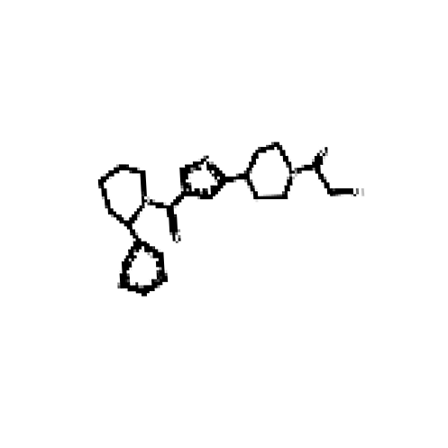 O=C(CO)N1CCC(c2cc(C(=O)N3CCCCC3c3ccccc3)cs2)CC1